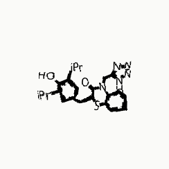 CC(C)c1cc(C=C2Sc3ccccc3N(Cc3nnn[nH]3)C2=O)cc(C(C)C)c1O